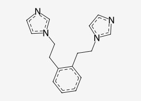 c1ccc(CCn2ccnc2)c(CCn2ccnc2)c1